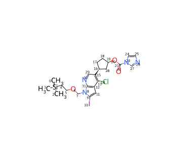 C[Si](C)(C)CCOCn1c(I)cc2c(Cl)c([C@H]3CC[C@@H](OC(=O)n4ccnc4)C3)cnc21